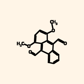 COc1ccc(OC)c2c(C=O)c3ccccc3c(C=O)c12